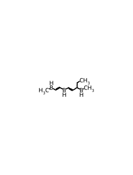 CBC=CBC=CC(BC)CC